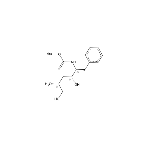 C[C@@H](CO)C[C@@H](O)[C@H](Cc1ccccc1)NC(=O)OC(C)(C)C